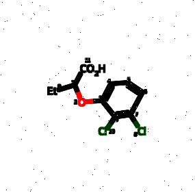 CCC(Oc1cccc(Cl)c1Cl)C(=O)O